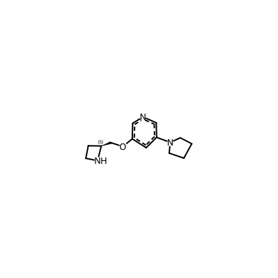 c1ncc(N2CCCC2)cc1OC[C@@H]1CCN1